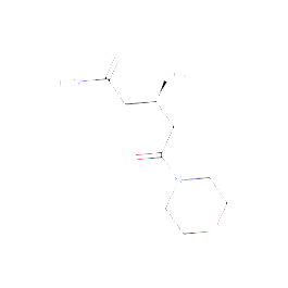 C[C@@H]([CH]C(=O)N1CCOCC1)CC(N)=O